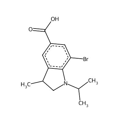 CC1CN(C(C)C)c2c(Br)cc(C(=O)O)cc21